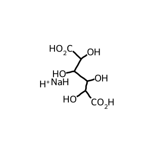 O=C(O)C(O)C(O)C(O)C(O)C(=O)O.[H+].[NaH]